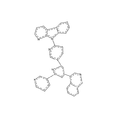 c1cncc(-c2cc(-c3cncc4ccccc34)cc(-c3ccc(-n4c5ccccc5c5cccnc54)nc3)n2)c1